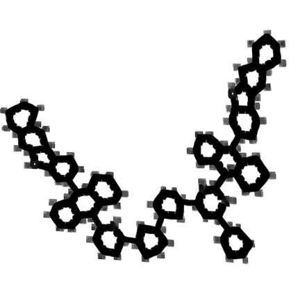 c1ccc(-c2cc(-c3cccc(-c4cccc(-c5cccc(-c6c7ccccc7c(-c7ccc8c(c7)oc7cc9ccccc9cc78)c7ccccc67)n5)c4)c3)nc(-c3c4ccccc4c(-c4ccc5c(c4)oc4cc6ccccc6cc45)c4ccccc34)n2)cc1